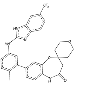 Cc1ccc(Nc2nc3ccc(C(F)(F)F)cc3[nH]2)cc1-c1ccc2c(c1)OC1(CCOCC1)CC(=O)N2